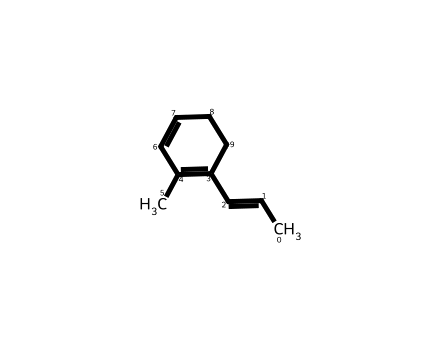 CC=CC1=C(C)C=CC[CH]1